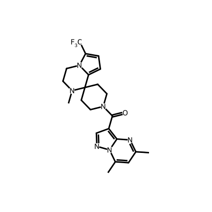 Cc1cc(C)n2ncc(C(=O)N3CCC4(CC3)c3ccc(C(F)(F)F)n3CCN4C)c2n1